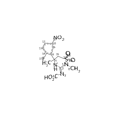 CN1C(=NC(=O)O)NC(C)(c2cc([N+](=O)[O-])ccc2F)CS1(=O)=O